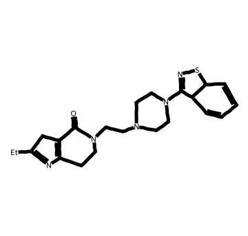 CCC1=NC2=C(C1)C(=O)N(CCN1CCN(C3=NSC4C=CC=CC34)CC1)CC2